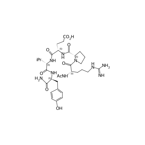 CC(=O)N[C@@H](CCCNC(=N)N)C(=O)N1CCC[C@H]1C(=O)N[C@@H](CCC(=O)O)C(=O)N[C@H](C(=O)N[C@@H](Cc1ccc(O)cc1)C(N)=O)C(C)C